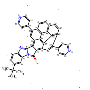 CC(C)(C)c1ccc2nc3c4c5cc(-c6ccncc6)c6ccc7ccc8c(-c9ccncc9)cc(c4c(=O)n3c2c1)c1c8c7c6c51